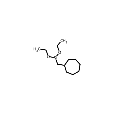 CCO[Si](CC1CCCCCC1)OCC